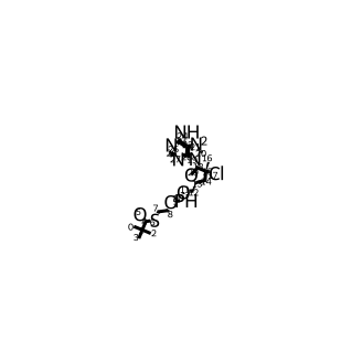 CC(C)(C)C(=O)SCCOPOC[C@@H]1C[C@@](C)(Cl)[C@H](n2cnc3c(N)ncnc32)O1